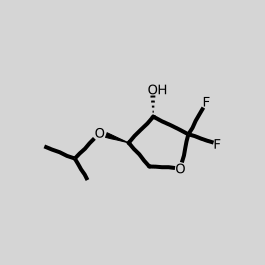 CC(C)O[C@@H]1COC(F)(F)[C@H]1O